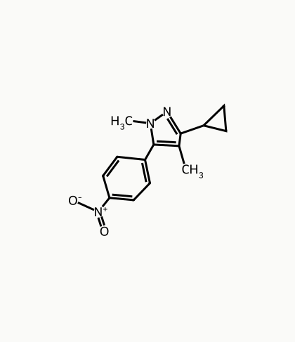 Cc1c(C2CC2)nn(C)c1-c1ccc([N+](=O)[O-])cc1